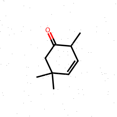 CC1C=CC(C)(C)CC1=O